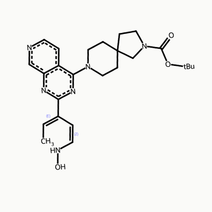 C/C=C(\C=C/NO)c1nc(N2CCC3(CCN(C(=O)OC(C)(C)C)C3)CC2)c2ccncc2n1